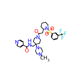 CN1CCN(C2(CNC(=O)c3ccncc3)CCN(C(=O)CC3CCCCN3S(=O)(=O)c3cccc(C(F)(F)F)c3)CC2)CC1